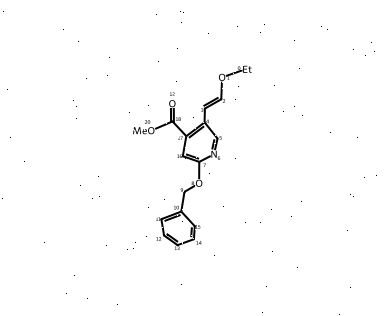 CCOC=Cc1cnc(OCc2ccccc2)cc1C(=O)OC